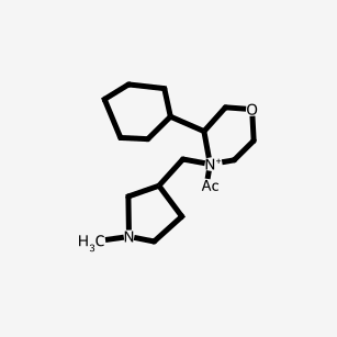 [CH2]C(=O)[N+]1(CC2CCN(C)C2)CCOCC1C1CCCCC1